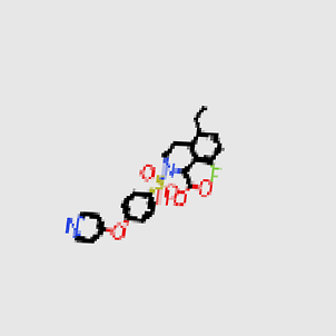 CCc1ccc(F)c2c1CCN(S(=O)(=O)c1ccc(Oc3ccncc3)cc1)C2C(=O)O